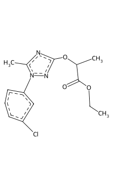 CCOC(=O)C(C)Oc1nc(C)n(-c2cccc(Cl)c2)n1